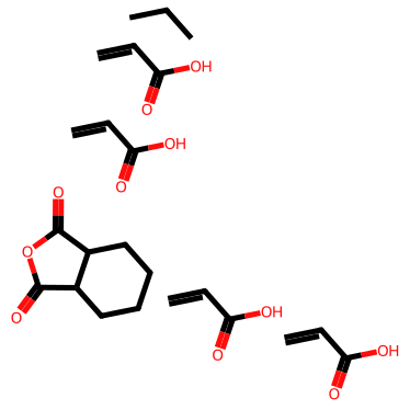 C=CC(=O)O.C=CC(=O)O.C=CC(=O)O.C=CC(=O)O.CCC.O=C1OC(=O)C2CCCCC12